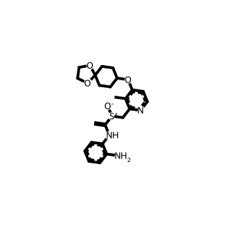 C=C(Nc1ccccc1N)[S+]([O-])Cc1nccc(OC2CCC3(CC2)OCCO3)c1C